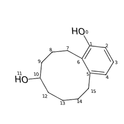 Oc1cccc2c1CCCC(O)CCCC2